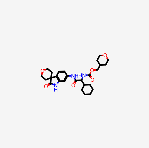 O=C(NC(C(=O)Nc1ccc2c(c1)NC(=O)C21CCOCC1)C1CCCCC1)OCC1CCOCC1